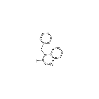 Ic1cnc2ccccc2c1Cc1ccccc1